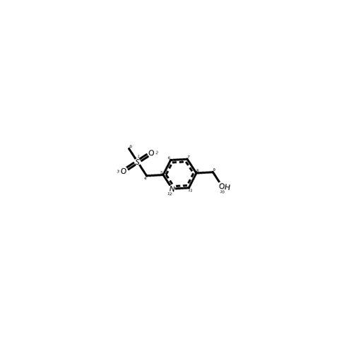 CS(=O)(=O)Cc1ccc(CO)cn1